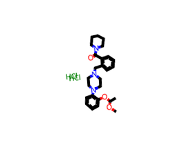 COC(C)Oc1ccccc1N1CCN(Cc2ccccc2C(=O)N2CCCCC2)CC1.Cl.Cl